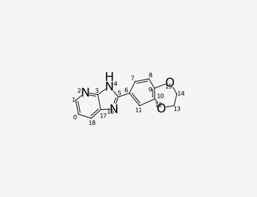 c1cnc2[nH]c(-c3ccc4c(c3)OCCO4)nc2c1